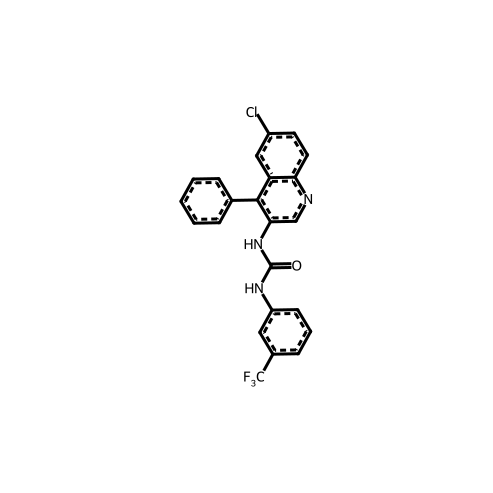 O=C(Nc1cccc(C(F)(F)F)c1)Nc1cnc2ccc(Cl)cc2c1-c1ccccc1